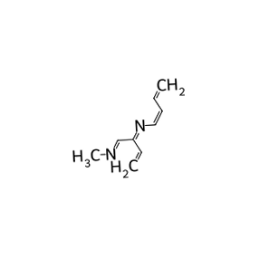 C=C\C=C/N=C(C=C)/C=N/C